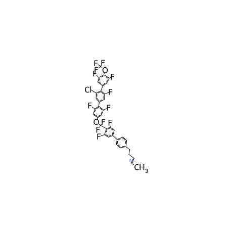 C/C=C/CCc1ccc(-c2cc(F)c(C(F)(F)Oc3cc(F)c(-c4cc(F)c(-c5cc(F)c(OC(F)(F)F)c(F)c5)c(Cl)c4)c(F)c3)c(F)c2)cc1